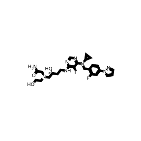 NC(=O)CN(CCO)C[C@H](O)CCNc1ncnc(N(Cc2ccc(-n3cccn3)cc2F)C2CC2)c1F